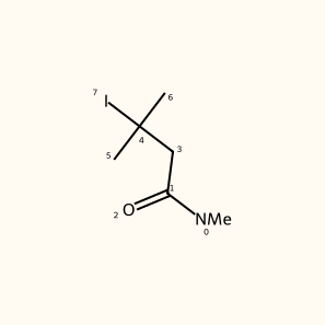 CNC(=O)CC(C)(C)I